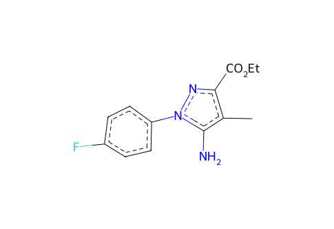 CCOC(=O)c1nn(-c2ccc(F)cc2)c(N)c1C